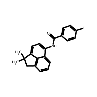 CC1(C)Cc2cccc3c(NC(=O)c4ccc(F)cc4)ccc1c23